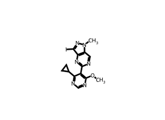 COc1ncnc(C2CC2)c1-c1ncc2c(n1)c(I)nn2C